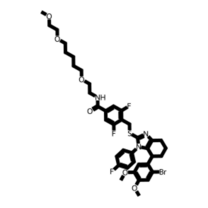 COCCOCCCCCOCCNC(=O)c1cc(F)c(CSc2nc3c(n2-c2ccc(F)cc2)C(c2cc(OC)c(OC)cc2Br)CCC3)c(F)c1